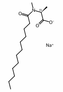 CCCCCCCCCCCC(=O)N(C)[C@@H](C)C(=O)[O-].[Na+]